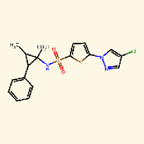 CC1C(c2ccccc2)C1(NS(=O)(=O)c1ccc(-n2cc(Cl)cn2)s1)C(=O)O